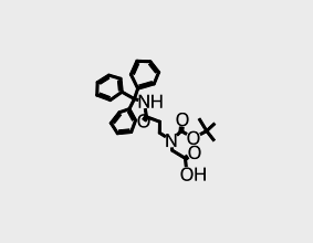 CC(C)(C)OC(=O)N(CCC(=O)NC(c1ccccc1)(c1ccccc1)c1ccccc1)CC(=O)O